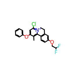 Cc1c(Oc2ccccc2)cc(Cl)[n+]2c1-c1ccc(OCC(F)F)cc1CC2